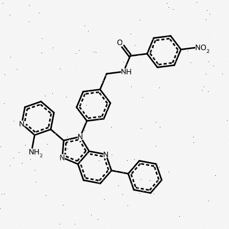 Nc1ncccc1-c1nc2ccc(-c3ccccc3)nc2n1-c1ccc(CNC(=O)c2ccc([N+](=O)[O-])cc2)cc1